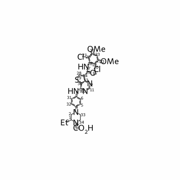 CCC1CN(c2ccc(Nc3ncnc4c(C(=O)Nc5c(Cl)c(OC)cc(OC)c5Cl)csc34)cc2)CCN1C(=O)O